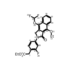 CCOC(=O)Cc1ccc(N2Cc3c(c(OCC)c4ccccc4c3OC(F)F)C2=O)cc1F